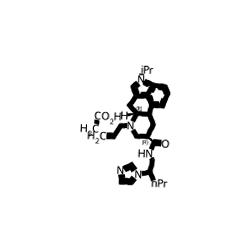 C=CCN1C[C@H](C(=O)NCC(CCC)n2ccnc2)CC2c3cccc4c3c(cn4C(C)C)C[C@H]21.CC(=O)O